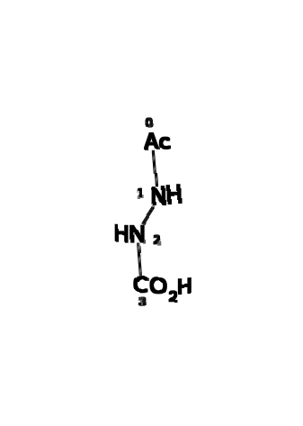 CC(=O)NNC(=O)O